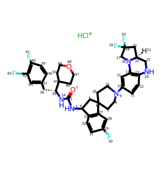 Cl.O=C(NC1CC2(CCN(c3ccc4c(c3)N3CC(F)(F)C[C@H]3CN4)CC2)c2cc(F)ccc21)N[C@H](Cc1ccc(F)c(F)c1)C1CCOCC1